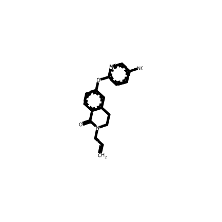 [C-]#[N+]c1ccc(Oc2ccc3c(c2)CCN(CC=C)C3=O)nc1